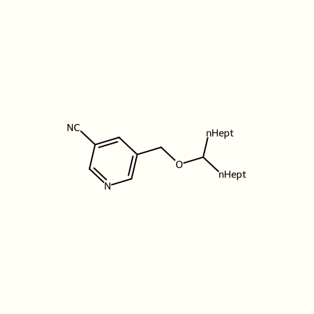 CCCCCCCC(CCCCCCC)OCc1cncc(C#N)c1